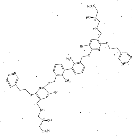 Cc1c(COc2nc(OCCc3cncnc3)c(CNC[C@@H](O)CC(=O)O)cc2Br)cccc1-c1cccc(COc2nc(OCCc3cncnc3)c(CNC[C@@H](O)CC(=O)O)cc2Br)c1C